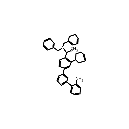 CNC(c1ccc(-c2cccc(-c3ccccc3N)c2)cc1C1CC=CCC1)N(CC1=CC=CCC1)Cc1ccccc1